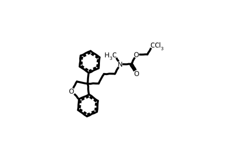 CN(CCCC1(c2ccccc2)COc2ccccc21)C(=O)OCC(Cl)(Cl)Cl